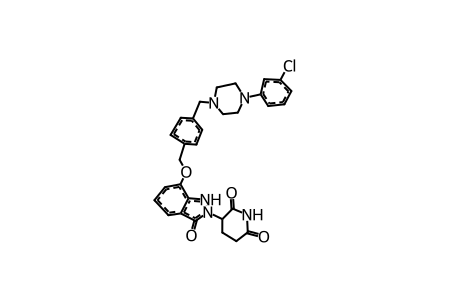 O=C1CCC(n2[nH]c3c(OCc4ccc(CN5CCN(c6cccc(Cl)c6)CC5)cc4)cccc3c2=O)C(=O)N1